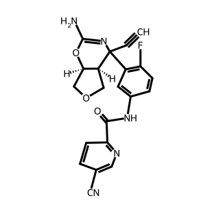 C#CC1(c2cc(NC(=O)c3ccc(C#N)cn3)ccc2F)N=C(N)O[C@@H]2COC[C@@H]21